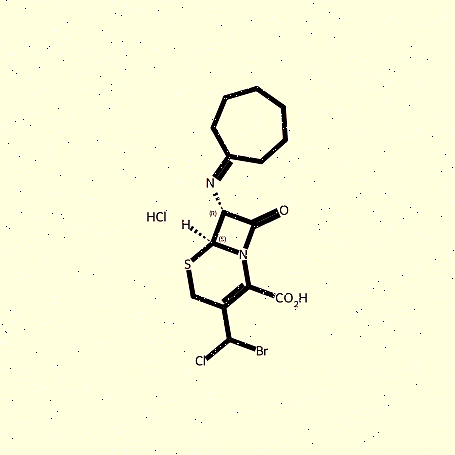 Cl.O=C(O)C1=C(C(Cl)Br)CS[C@H]2[C@H](N=C3CCCCCC3)C(=O)N12